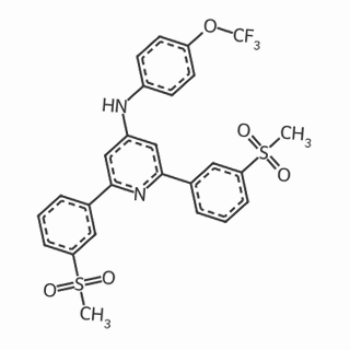 CS(=O)(=O)c1cccc(-c2cc(Nc3ccc(OC(F)(F)F)cc3)cc(-c3cccc(S(C)(=O)=O)c3)n2)c1